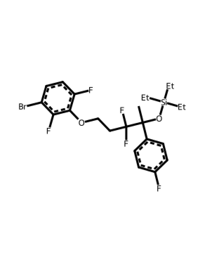 CC[Si](CC)(CC)OC(C)(c1ccc(F)cc1)C(F)(F)CCOc1c(F)ccc(Br)c1F